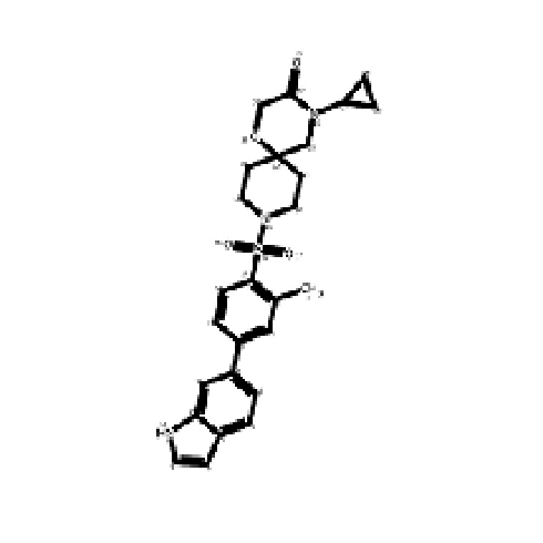 Cc1cc(-c2ccc3cc[nH]c3c2)ccc1S(=O)(=O)N1CCC2(CC1)CN(C1CC1)C(=O)CO2